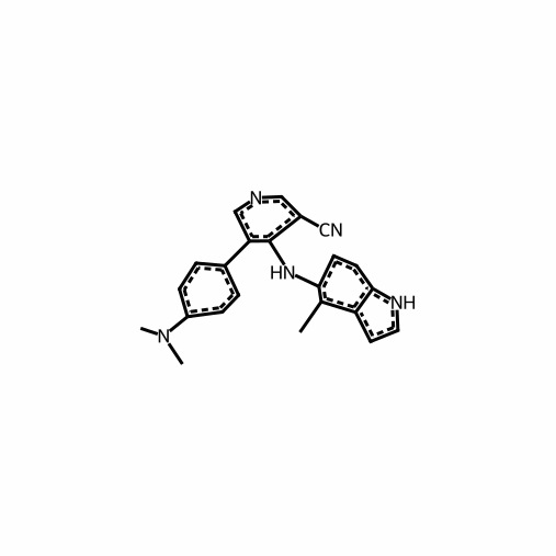 Cc1c(Nc2c(C#N)cncc2-c2ccc(N(C)C)cc2)ccc2[nH]ccc12